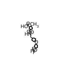 Cc1ccc(S(=O)(=O)NCCc2ccc(Oc3ccc(OC(F)(F)F)cc3)cc2)cc1C(=O)O